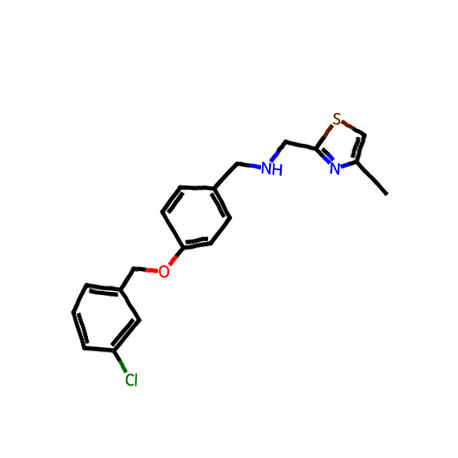 Cc1csc(CNCc2ccc(OCc3cccc(Cl)c3)cc2)n1